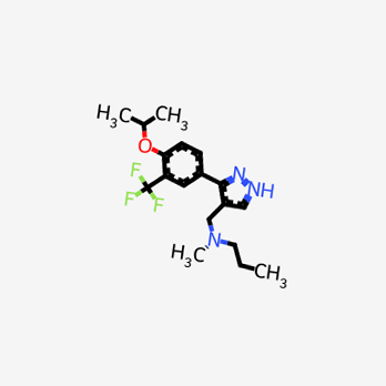 CCCN(C)Cc1c[nH]nc1-c1ccc(OC(C)C)c(C(F)(F)F)c1